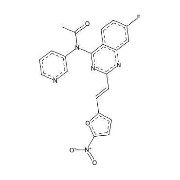 CC(=O)N(c1cccnc1)c1nc(C=Cc2ccc([N+](=O)[O-])o2)nc2cc(F)ccc12